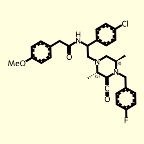 COc1ccc(CC(=O)NC(CN2C[C@@H](C)N(Cc3ccc(F)cc3)C(=C=O)[C@@H]2C)c2ccc(Cl)cc2)cc1